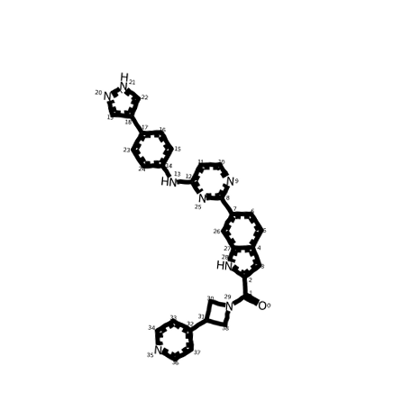 O=C(c1cc2ccc(-c3nccc(Nc4ccc(-c5cn[nH]c5)cc4)n3)cc2[nH]1)N1CC(c2ccncc2)C1